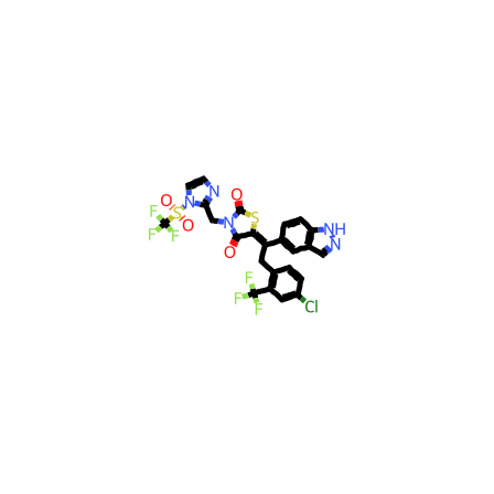 O=C1S/C(=C(/Cc2ccc(Cl)cc2C(F)(F)F)c2ccc3[nH]ncc3c2)C(=O)N1Cc1nccn1S(=O)(=O)C(F)(F)F